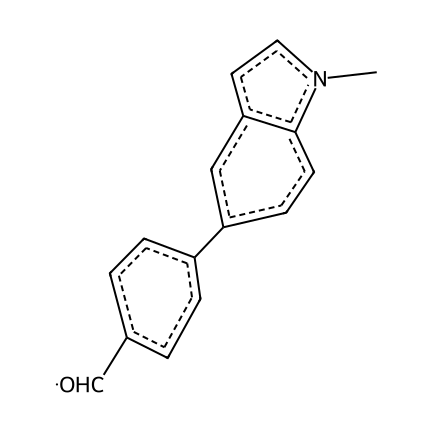 Cn1ccc2cc(-c3ccc([C]=O)cc3)ccc21